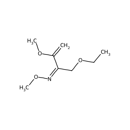 C=C(OC)/C(COCC)=N\OC